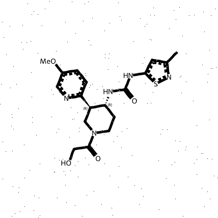 COc1ccc([C@@H]2CN(C(=O)CO)CC[C@H]2NC(=O)Nc2cc(C)ns2)nc1